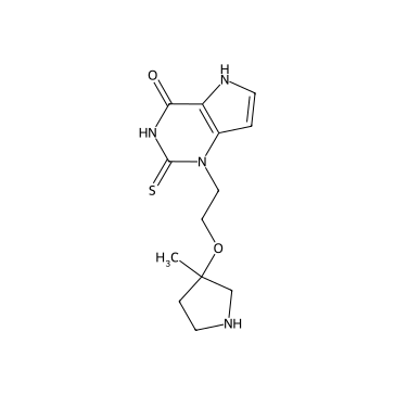 CC1(OCCn2c(=S)[nH]c(=O)c3[nH]ccc32)CCNC1